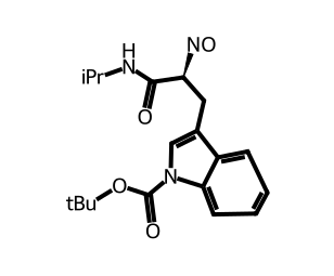 CC(C)NC(=O)[C@H](Cc1cn(C(=O)OC(C)(C)C)c2ccccc12)N=O